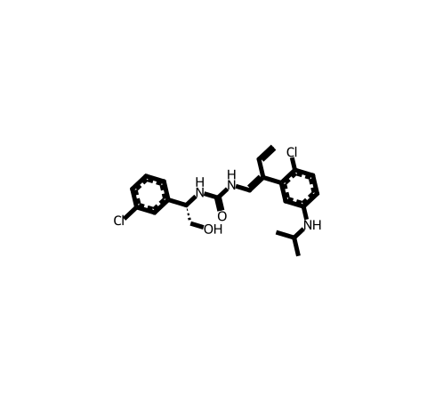 C=C/C(=C\NC(=O)N[C@H](CO)c1cccc(Cl)c1)c1cc(NC(C)C)ccc1Cl